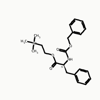 C[N+](C)(C)CCOC(=O)[C@H](Cc1ccccc1)NC(=O)OCc1ccccc1